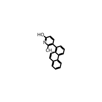 Cc1nc(O)ccc1-c1cccc2c1ccc1ccccc12